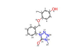 Cc1cc(O)ccc1OCc1ccccc1-n1nnn(C)c1=O